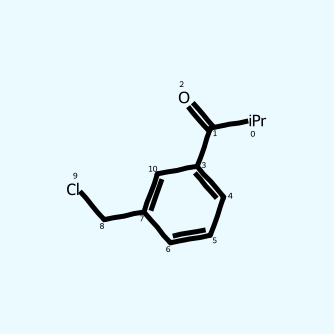 CC(C)C(=O)c1cccc(CCl)c1